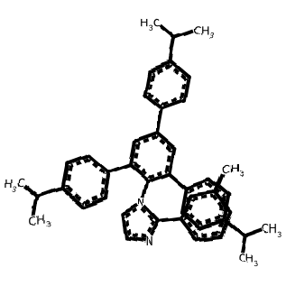 Cc1cccc(-c2nccn2-c2c(-c3ccc(C(C)C)cc3)cc(-c3ccc(C(C)C)cc3)cc2-c2ccc(C(C)C)cc2)c1